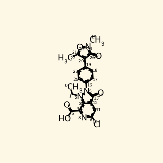 CCn1c2c(C(=O)O)nc(Cl)cc2c(=O)n1-c1ccc(-c2c(C)on(C)c2=O)cc1